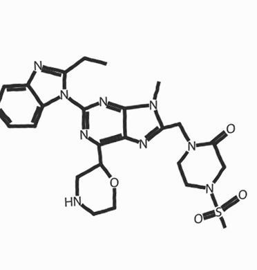 CCc1nc2ccccc2n1-c1nc(C2CNCCO2)c2nc(CN3CCN(S(C)(=O)=O)CC3=O)n(C)c2n1